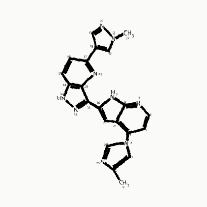 Cc1cn(-c2ccnc3[nH]c(-c4n[nH]c5ccc(-c6cnn(C)c6)nc45)cc23)cn1